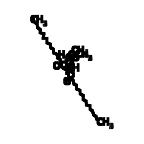 CCCCCCCCCCCCCCCCCC(=O)OCC(COC(=O)CCCCCCCCCCCCCCCCC)NCCC(=O)OC(C)(C)C